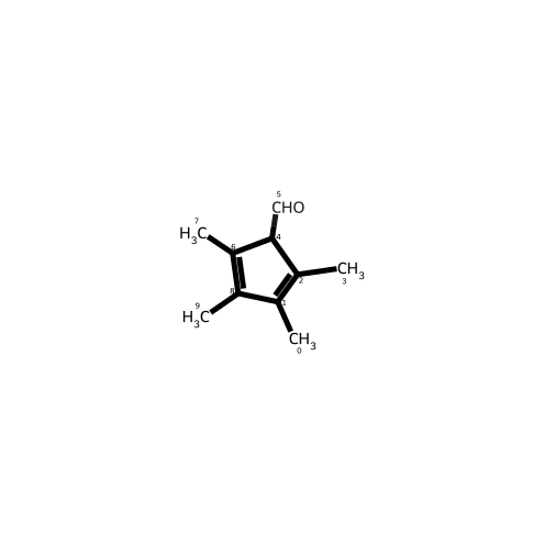 CC1=C(C)C(C=O)C(C)=C1C